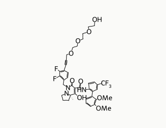 COc1cccc(-c2cc(C(F)(F)F)ccc2NC(=O)C2=C(O)[C@@]3(C)CCCN3N(Cc3ccc(C#CCOCCOCCOCCO)c(F)c3F)C2=O)c1OC